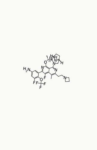 Cc1c(CCN2CCC2)nc2c3c(nc(-c4cc(N)cc(F)c4OC(F)(F)F)c(F)c13)O[C@@H](C)[C@@H]1[C@@H]3CC[C@H](CN21)N3